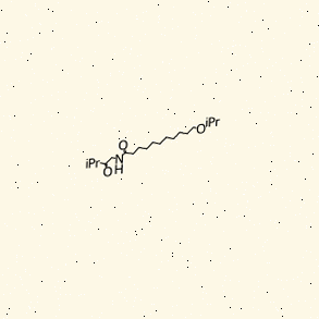 CC(C)OCCCCCCCCCCC(=O)NCC(=O)C(C)C